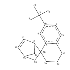 CC(C)(C)c1ccc2c(c1)C1(CCC2)CC2C=CC1C2